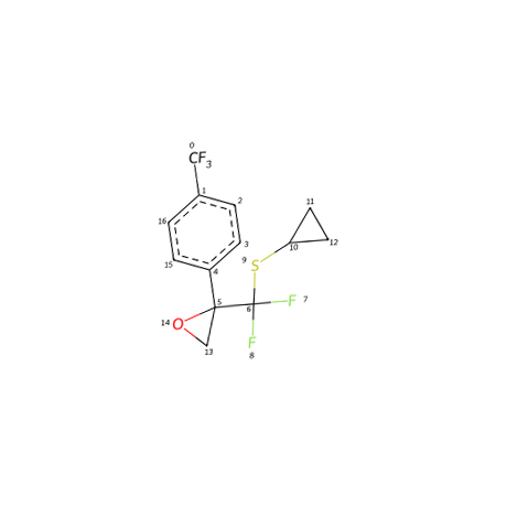 FC(F)(F)c1ccc(C2(C(F)(F)SC3CC3)CO2)cc1